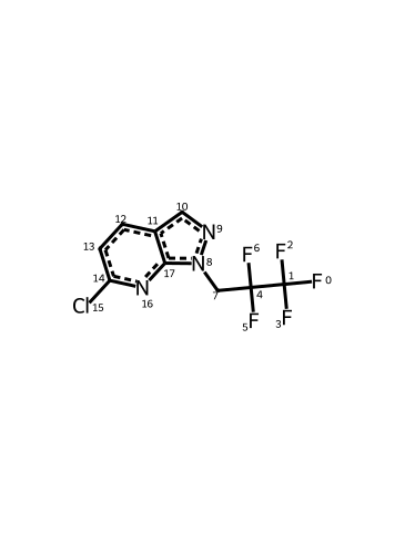 FC(F)(F)C(F)(F)Cn1ncc2ccc(Cl)nc21